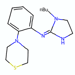 CCCCN1CCNC1=Nc1ccccc1N1CCSCC1